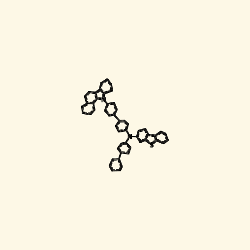 c1ccc(-c2ccc(N(c3ccc(-c4ccc(-n5c6ccccc6c6ccc7ccccc7c65)cc4)cc3)c3ccc4c(c3)sc3ccccc34)cc2)cc1